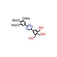 COc1cc(-c2ncc(-c3cc(CO)c(CO)c(CO)c3)nn2)cc(OC)c1OC